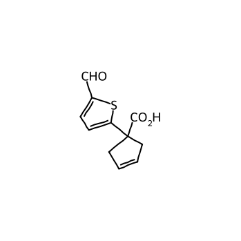 O=Cc1ccc(C2(C(=O)O)CC=CC2)s1